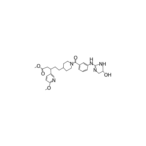 COC(=O)CC(CCC1CCN(C(=O)c2cccc(NC3=NCC(O)CN3)c2)CC1)c1ccc(OC)nc1